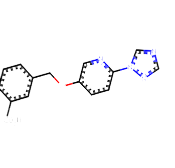 O=C(O)c1cccc(COc2ccc(-n3cncn3)nc2)c1